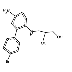 Nc1ccc(NCC(O)CO)c(-c2ccc(Br)cc2)c1